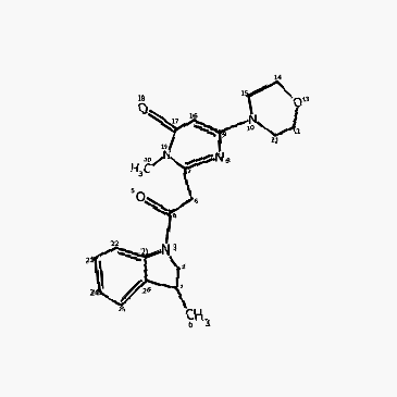 CC1CN(C(=O)Cc2nc(N3CCOCC3)cc(=O)n2C)c2ccccc21